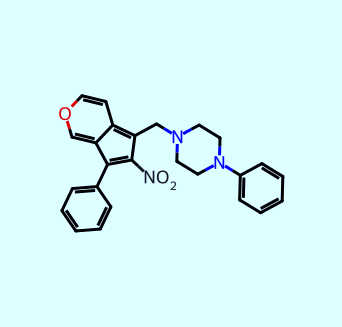 O=[N+]([O-])c1c(CN2CCN(c3ccccc3)CC2)c2ccocc-2c1-c1ccccc1